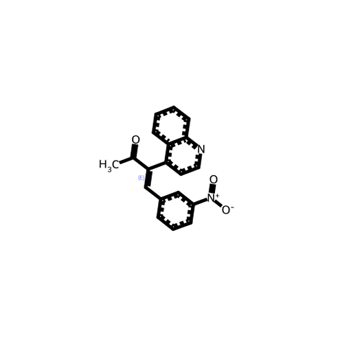 CC(=O)/C(=C/c1cccc([N+](=O)[O-])c1)c1ccnc2ccccc12